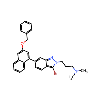 CN(C)CCCn1nc2cc(-c3cc(OCc4ccccc4)cc4ccccc34)ccc2c1Br